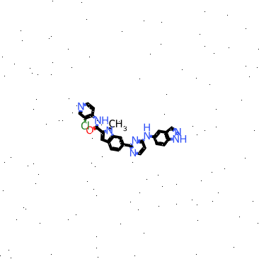 Cn1c(C(=O)Nc2ccncc2Cl)cc2ccc(-c3nccc(Nc4ccc5[nH]ncc5c4)n3)cc21